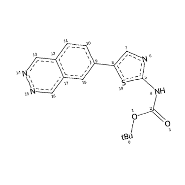 CC(C)(C)OC(=O)Nc1ncc(-c2ccc3cnncc3c2)s1